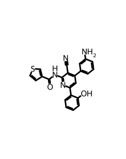 N#Cc1c(-c2cccc(N)c2)cc(-c2ccccc2O)nc1NC(=O)c1ccsc1